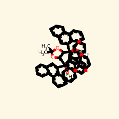 COC(c1cc2ccccc2c2ccccc12)(c1cc2ccccc2c2ccccc12)C1OC(C)(C)OC1C(OC)(c1cc2ccccc2c2ccccc12)c1cc2ccccc2c2ccccc12